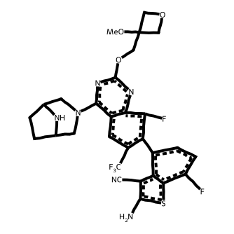 COC1(COc2nc(N3CC4CCC(C3)N4)c3cc(C(F)(F)F)c(-c4ccc(F)c5sc(N)c(C#N)c45)c(F)c3n2)COC1